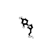 [CH2]CCc1ccn(-c2ccc(Cl)cc2Cl)n1